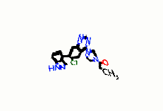 C=CC(=O)N1CCN(c2ncnc3cc(-c4cccc5[nH]ncc45)c(Cl)cc23)CC1